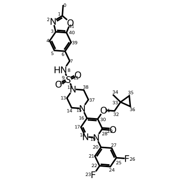 Cc1nc2ccc(CNS(=O)(=O)N3CCN(c4cnn(-c5cc(F)cc(F)c5)c(=O)c4OCC4(C)CC4)CC3)cc2o1